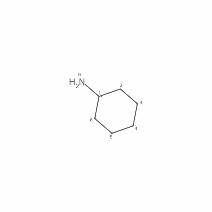 N[C]1CC[CH]CC1